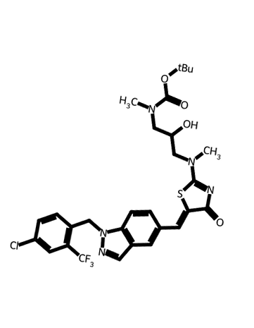 CN(CC(O)CN(C)C1=NC(=O)/C(=C/c2ccc3c(cnn3Cc3ccc(Cl)cc3C(F)(F)F)c2)S1)C(=O)OC(C)(C)C